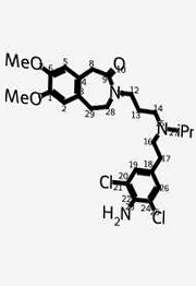 COc1cc2c(cc1OC)CC(=O)N(CCCN(CCc1cc(Cl)c(N)c(Cl)c1)C(C)C)CC2